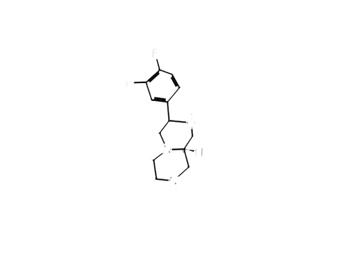 Fc1ccc(C2CN3CCNC[C@H]3CO2)cc1Br